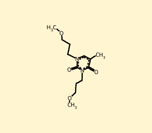 COCCCn1cc(C)c(=O)n(CCCOC)c1=O